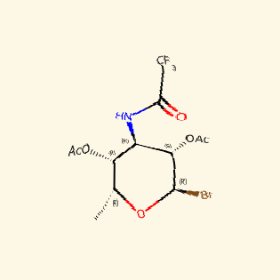 CC(=O)O[C@@H]1[C@@H](NC(=O)C(F)(F)F)[C@H](OC(C)=O)[C@@H](Br)O[C@@H]1C